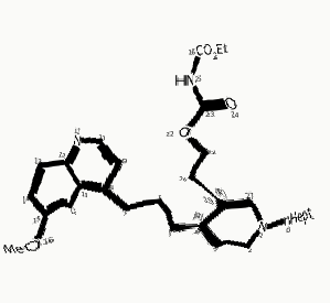 CCCCCCCN1CC[C@@H](CCCc2ccnc3ccc(OC)cc23)[C@@H](CCOC(=O)NC(=O)OCC)C1